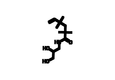 C=CC(C)(C)CC(C)(C)C(=O)NCC(O)CO